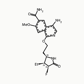 CC[C@@H]1[C@H](F)C(=O)N[C@@H]1CCOc1ncc(N)c2cc(C(N)=O)c(OC)cc12